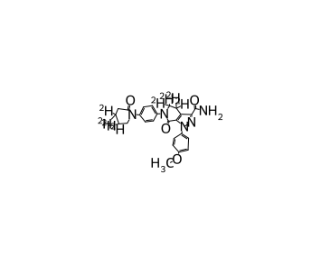 [2H]C1([2H])CC(=O)N(c2ccc(N3C(=O)c4c(c(C(N)=O)nn4-c4ccc(OC)cc4)C([2H])([2H])C3([2H])[2H])cc2)CC1([2H])[2H]